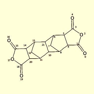 O=C1OC(=O)C2C3CC(C12)C1C2CC(C4C(=O)OC(=O)C24)C31